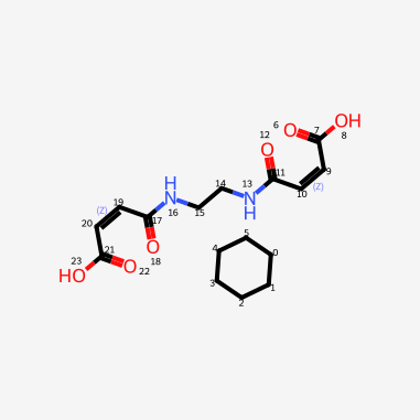 C1CCCCC1.O=C(O)/C=C\C(=O)NCCNC(=O)/C=C\C(=O)O